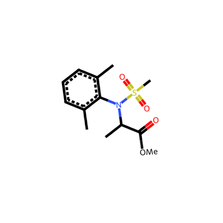 COC(=O)C(C)N(c1c(C)cccc1C)S(C)(=O)=O